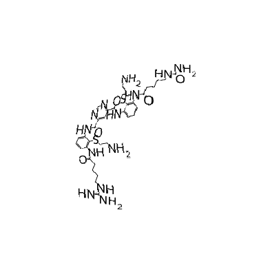 N=C(N)NCCCCC(=O)Nc1cccc(NC(=O)c2cc(C(=O)Nc3cccc(NC(=O)CCCCNC(N)=O)c3SCCN)ncn2)c1SCCN